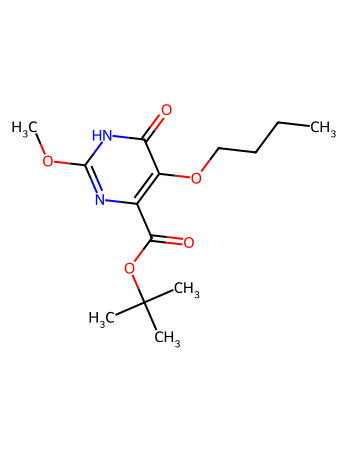 CCCCOc1c(C(=O)OC(C)(C)C)nc(OC)[nH]c1=O